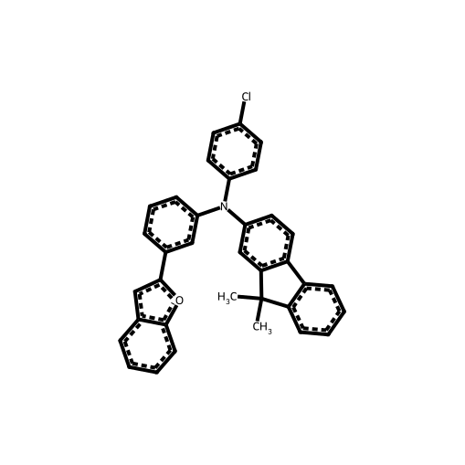 CC1(C)c2ccccc2-c2ccc(N(c3ccc(Cl)cc3)c3cccc(-c4cc5ccccc5o4)c3)cc21